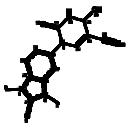 Cn1c(=O)n(C)c2cc(N3C=C(C#N)C(O)NC3=O)ccc21